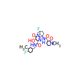 Cc1cc(CNC(=O)c2nc3n(c(=O)c2O)CC2(F)CCC3(NC(=O)c3cccn(C)c3=O)CC2)ccc1F